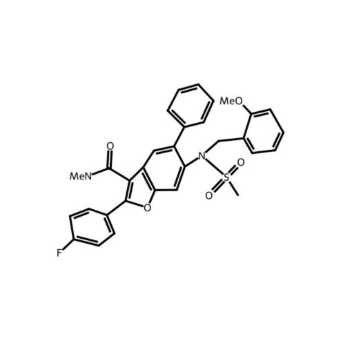 CNC(=O)c1c(-c2ccc(F)cc2)oc2cc(N(Cc3ccccc3OC)S(C)(=O)=O)c(-c3ccccc3)cc12